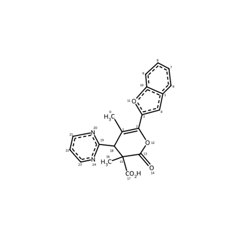 CC1=C(c2cc3ccccc3o2)OC(=O)C(C)(C(=O)O)C1c1ncccn1